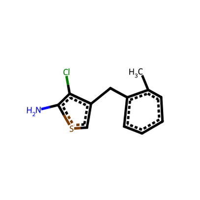 Cc1ccccc1Cc1csc(N)c1Cl